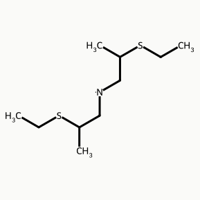 CCSC(C)C[N]CC(C)SCC